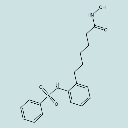 O=C(CCCCCc1ccccc1NS(=O)(=O)c1ccccc1)NO